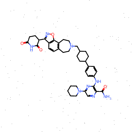 NC(=O)c1ncc(N2CCCCC2)nc1Nc1ccc(C2CCC(CN3CCc4ccc5c(C6CCC(=O)NC6=O)noc5c4CC3)CC2)cc1